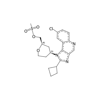 CS(=O)(=O)OC[C@H]1C[C@@H](n2c(C3CCC3)nc3cnc4ccc(Cl)cc4c32)CCO1